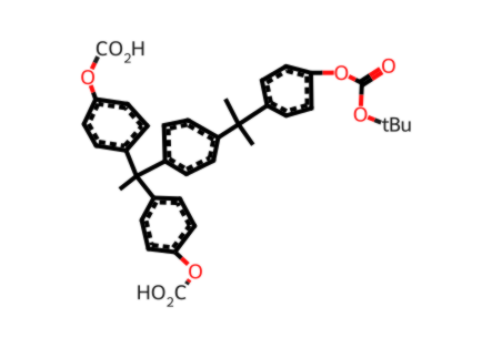 CC(C)(C)OC(=O)Oc1ccc(C(C)(C)c2ccc(C(C)(c3ccc(OC(=O)O)cc3)c3ccc(OC(=O)O)cc3)cc2)cc1